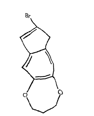 BrC1=Cc2cc3c(cc2C1)OCCCO3